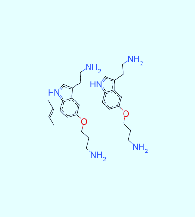 CC=CC.NCCCOc1ccc2[nH]cc(CCN)c2c1.NCCCOc1ccc2[nH]cc(CCN)c2c1